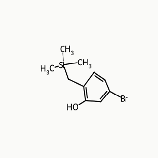 C[Si](C)(C)Cc1ccc(Br)cc1O